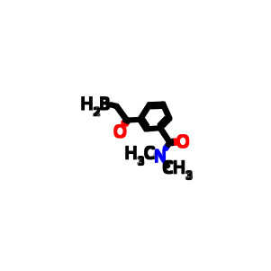 BCC(=O)c1cccc(C(=O)N(C)C)c1